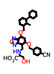 Cc1c(COc2cc(OCc3ccc(C#N)cc3)c(CN[C@H](CO)C(=O)O)c3nonc23)cccc1-c1ccccc1